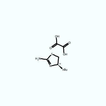 CCCC[C@@H]1CSC(N)=N1.O=C(O)C(=O)O